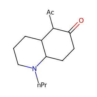 CCCN1CCCC2C(C(C)=O)C(=O)CCC21